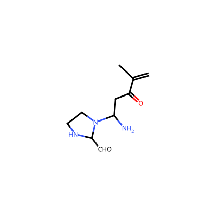 C=C(C)C(=O)CC(N)N1CCNC1C=O